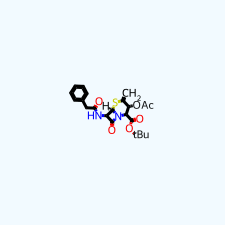 C=C1S[C@@H]2C(NC(=O)Cc3ccccc3)C(=O)N2C(C(=O)OC(C)(C)C)C1OC(C)=O